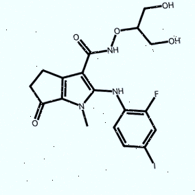 Cn1c(Nc2ccc(I)cc2F)c(C(=O)NOC(CO)CO)c2c1C(=O)CC2